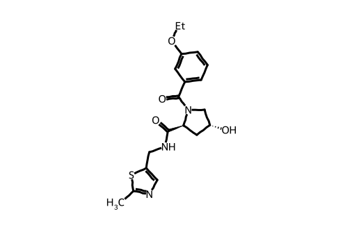 CCOc1cccc(C(=O)N2C[C@H](O)C[C@H]2C(=O)NCc2cnc(C)s2)c1